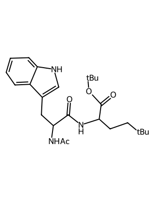 CC(=O)NC(Cc1c[nH]c2ccccc12)C(=O)NC(CCC(C)(C)C)C(=O)OC(C)(C)C